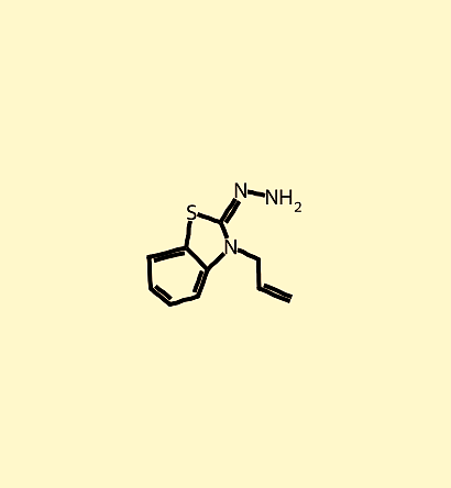 C=CCn1/c(=N\N)sc2ccccc21